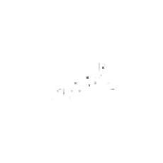 COC(=O)CC[C@@]1(c2ccc(N3CC4CN(C(=O)O)CCN4C3=O)cc2)CNCCO1